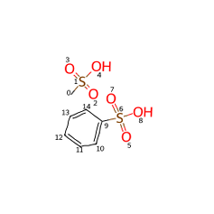 CS(=O)(=O)O.O=S(=O)(O)c1ccccc1